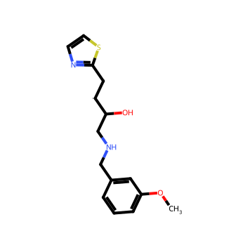 COc1cccc(CNCC(O)[CH]Cc2nccs2)c1